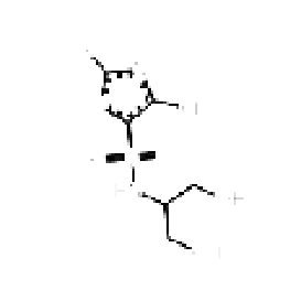 Cc1nc(N)sc1S(=O)(=O)NC(CO)CO